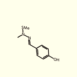 CSN(C)/N=C/c1ccc(O)cc1